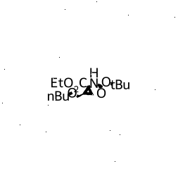 CCCCOC[C@@H]1C[C@]1(NC(=O)OC(C)(C)C)C(=O)OCC